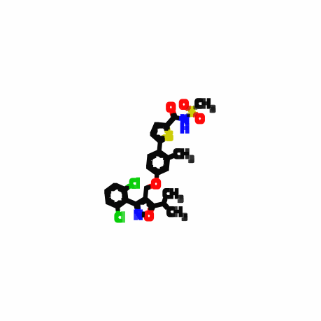 Cc1cc(OCc2c(-c3c(Cl)cccc3Cl)noc2C(C)C)ccc1-c1ccc(C(=O)NS(C)(=O)=O)s1